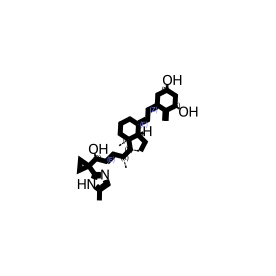 C=C1/C(=C\C=C2/CCC[C@]3(C)[C@@H]([C@H](C)/C=C/[C@@H](O)C4(c5ncc(C)[nH]5)CC4)CC[C@@H]23)C[C@@H](O)C[C@@H]1O